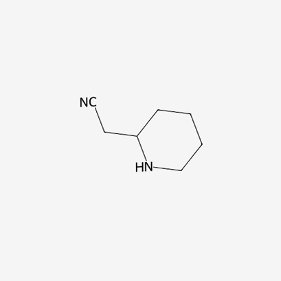 N#CCC1CCCCN1